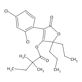 CCCC1(CCC)OC(=O)C(c2ccc(Cl)cc2Cl)=C1OC(=O)C(C)(C)CC